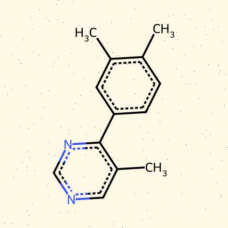 Cc1ccc(-c2ncncc2C)cc1C